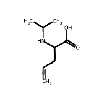 C=CCC(NC(C)C)C(=O)O